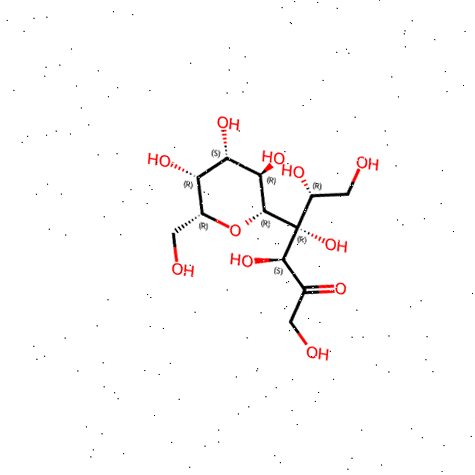 O=C(CO)[C@@H](O)[C@](O)([C@H](O)CO)[C@@H]1O[C@H](CO)[C@H](O)[C@H](O)[C@H]1O